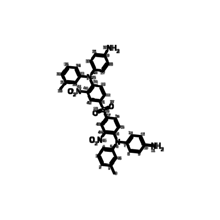 Cc1cccc(N(c2ccc(N)cc2)c2ccc(S(=O)(=O)c3ccc(N(c4ccc(N)cc4)c4cccc(C)c4)c([N+](=O)[O-])c3)cc2[N+](=O)[O-])c1